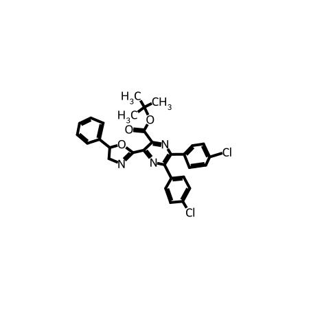 CC(C)(C)OC(=O)c1nc(-c2ccc(Cl)cc2)c(-c2ccc(Cl)cc2)nc1C1=NCC(c2ccccc2)O1